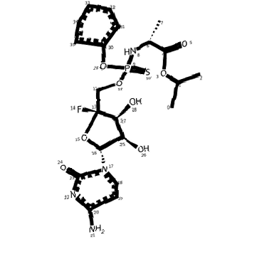 CC(C)OC(=O)[C@@H](C)NP(=S)(OC[C@@]1(F)O[C@@H](n2ccc(N)nc2=O)[C@H](O)[C@@H]1O)Oc1ccccc1